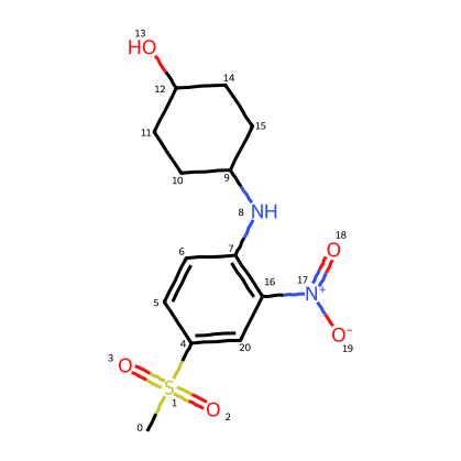 CS(=O)(=O)c1ccc(NC2CCC(O)CC2)c([N+](=O)[O-])c1